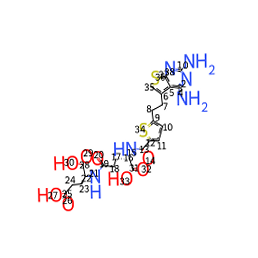 Nc1nc(N)c2c(CCc3ccc(C(=O)N[C@@H](CCC(=O)N[C@@H](CCC(=O)O)C(=O)O)C(=O)O)s3)csc2n1